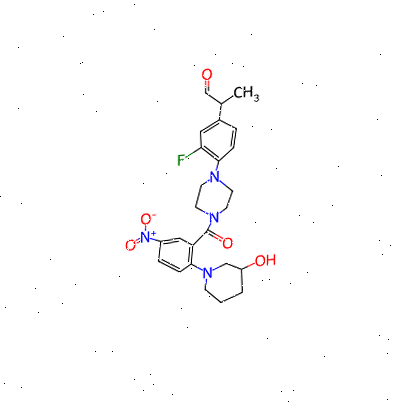 CC(C=O)c1ccc(N2CCN(C(=O)c3cc([N+](=O)[O-])ccc3N3CCCC(O)C3)CC2)c(F)c1